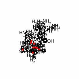 CC[C@H](C)[C@H](NC(=O)[C@H](Cc1ccc(O)cc1)NC(=O)[C@@H](NC(=O)[C@@H]1CCCN1C(=O)[C@H](CCCNC(=N)N)NC(=O)[C@H](CC(N)=O)NC(=O)[C@H](CC(N)=O)NC(=O)CN)C(C)C)C(=O)N1CCC[C@H]1C(=O)N[C@@H](CCC(N)=O)C(=O)N1CCC[C@H]1C(=O)N[C@@H](CCCNC(=N)N)C(=O)N1CCC[C@H]1C(=O)N1CCC[C@H]1C(=O)N[C@@H](Cc1cnc[nH]1)C(=O)N1CCC[C@H]1C(=O)N[C@@H](CCCNC(=N)N)C(=O)N[C@H](C=O)CC(C)C